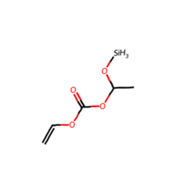 C=COC(=O)OC(C)O[SiH3]